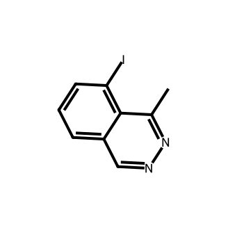 Cc1nncc2cccc(I)c12